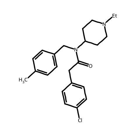 CCN1CCC(N(Cc2ccc(C)cc2)C(=O)Cc2ccc(Cl)cc2)CC1